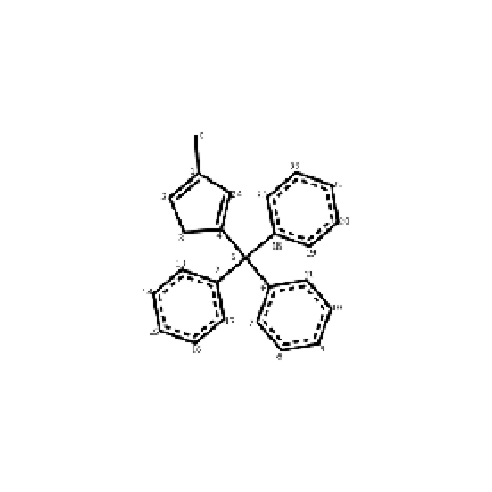 CC1=CCC(C(c2ccccc2)(c2ccccc2)c2ccccc2)=C1